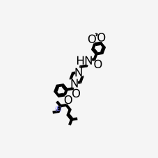 C/C=C(\C)C(CC=C(C)C)Oc1ccccc1C(=O)N1CCN(CCNC(=O)c2ccc3c(c2)OCO3)CC1